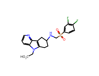 O=C(O)Cn1c2c(c3ncccc31)CC(NCS(=O)(=O)c1ccc(F)c(F)c1)CC2